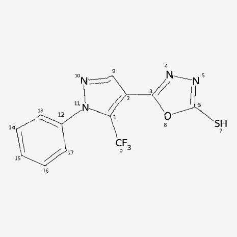 FC(F)(F)c1c(-c2nnc(S)o2)cnn1-c1ccccc1